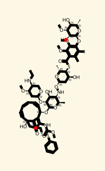 CCN[C@H]1CO[C@@H](O[C@H]2[C@H](O[C@H]3C#CC=CC#C[C@]4(O)CC(=O)C(NC(=O)OC)=C3/C4=C\CSSc3ccccc3)O[C@H](C)[C@@H](NO[C@H]3C[C@H](O)[C@H](SC(=O)c4c(C)c(I)c(O[C@@H]5O[C@@H](C)[C@H](O)[C@@H](OC)[C@H]5O)c(OC)c4OC)[C@@H](C)O3)[C@@H]2O)C[C@@H]1OC